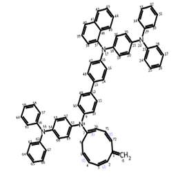 C=C1/C=C\C=C/C/C(N(c2ccc(-c3ccc(N(c4ccc(N(c5ccccc5)c5ccccc5)cc4)c4cccc5ccccc45)cc3)cc2)c2ccc(N(c3ccccc3)c3ccccc3)cc2)=C\C=C/1